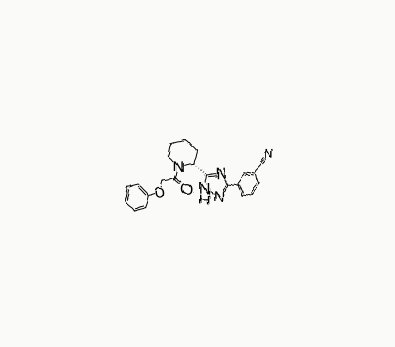 N#Cc1cccc(-c2n[nH]c([C@H]3CCCCN3C(=O)COc3ccccc3)n2)c1